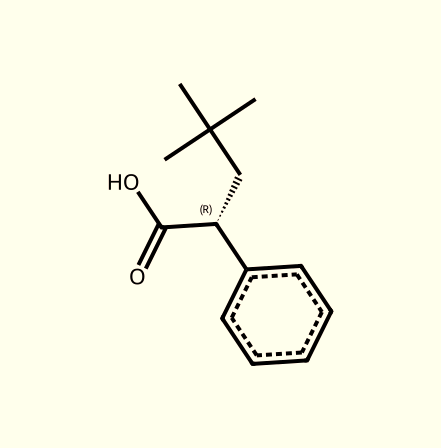 CC(C)(C)C[C@@H](C(=O)O)c1ccccc1